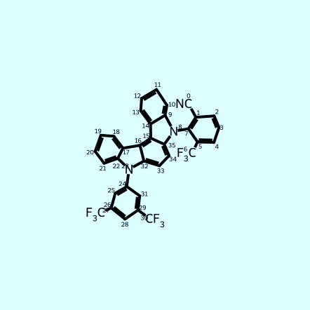 N#Cc1cccc(C(F)(F)F)c1-n1c2ccccc2c2c3c4ccccc4n(-c4cc(C(F)(F)F)cc(C(F)(F)F)c4)c3ccc21